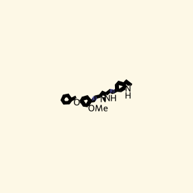 COc1cc(OCC2CCCCC2)ccc1/C=C/c1cc(/C=C/c2ccc3cc[nH]c3c2)[nH]n1